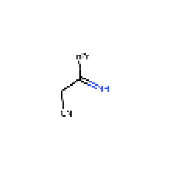 CCCC(=N)CC#N